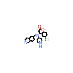 O=c1cc(N(Cc2ccc3cnccc3c2)C2CCNCC2)c2cc(Cl)ccc2o1